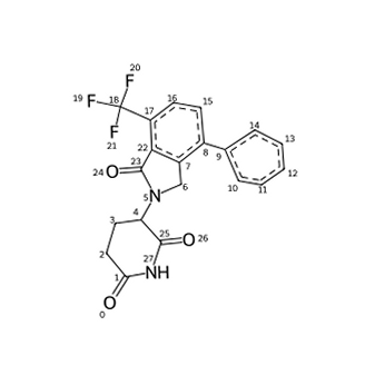 O=C1CCC(N2Cc3c(-c4ccccc4)ccc(C(F)(F)F)c3C2=O)C(=O)N1